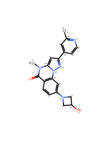 Cn1c(=O)c2ccc(N3CC(O)C3)cc2n2nc(-c3ccnc(C(F)(F)F)c3)cc12